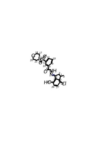 CC1C/C(=N\NC(=O)c2cccc(S(=O)(=O)N3CCOCC3)c2)c2c(O)ccc(Cl)c21